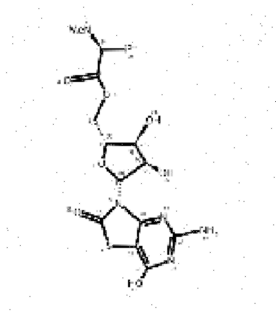 CN[C@H](C(=O)OC[C@H]1O[C@@H](n2c(=O)sc3c(O)nc(N)nc32)[C@H](O)[C@@H]1O)C(C)C